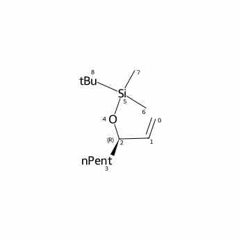 C=C[C@@H](CCCCC)O[Si](C)(C)C(C)(C)C